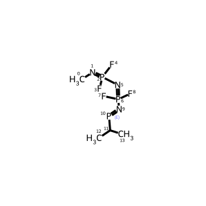 CN=P(F)(F)N=P(F)(F)/N=P/C(C)C